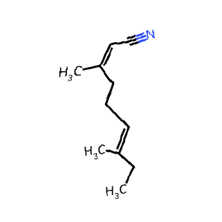 CC/C(C)=C/CC/C(C)=C\C#N